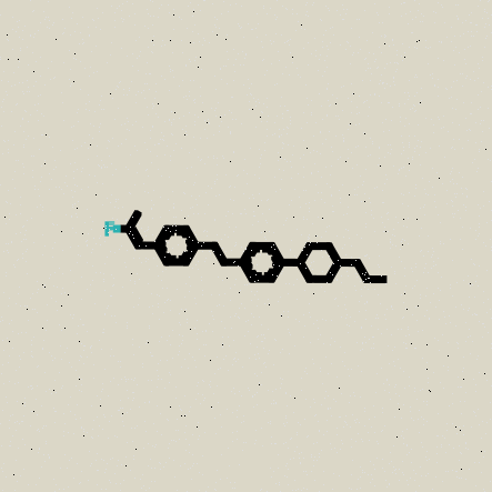 CCCC1CCC(c2ccc(CCc3ccc(/C=C(\C)F)cc3)cc2)CC1